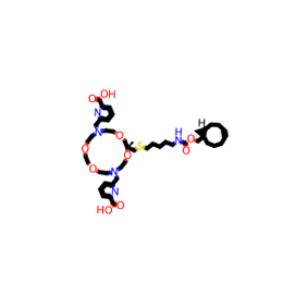 C[C@]1(CSCCCCCNC(=O)OCC23CCCC#CCC[C@H]2C3)COCCN(Cc2cccc(C(=O)O)n2)CCOCCOCCN(Cc2cccc(C(=O)O)n2)CCO1